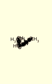 COc1ccc(-c2cnc(-c3ccc(CC(NC(=O)c4ccc(C(C)(C)C)cc4)C(=O)O)cc3)nc2)cc1